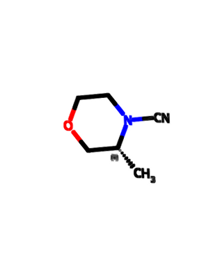 C[C@@H]1COCCN1C#N